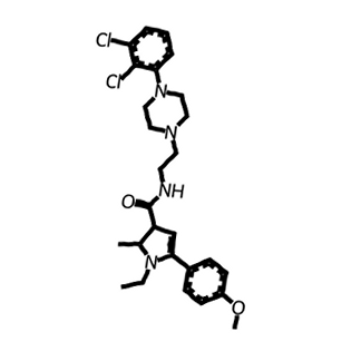 CCN1C(c2ccc(OC)cc2)=CC(C(=O)NCCN2CCN(c3cccc(Cl)c3Cl)CC2)C1C